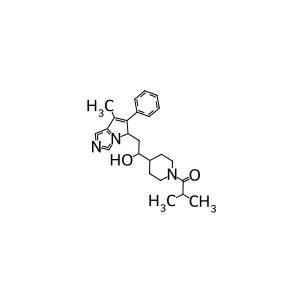 CC1=C(c2ccccc2)C(CC(O)C2CCN(C(=O)C(C)C)CC2)n2cncc21